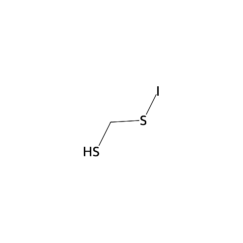 SCSI